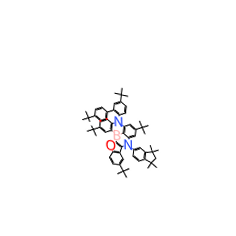 CC(C)(C)c1ccc(-c2cc(C(C)(C)C)ccc2N2c3ccc(C(C)(C)C)cc3B3c4oc5ccc(C(C)(C)C)cc5c4N(c4ccc5c(c4)C(C)(C)CC5(C)C)c4cc(C(C)(C)C)cc2c43)cc1